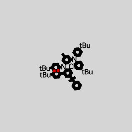 Cc1cc(N(c2ccc(C(C)(C)C)cc2)c2ccc(C(C)(C)C)cc2)c(Cl)c(N(c2ccc(C(C)(C)C)cc2)c2ccc(C(C)(C)c3ccccc3)cc2-c2ccc(C(C)(C)C)cc2)c1